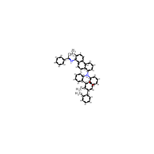 C/C(=N\c1c(C)ccc2c1ccc1c(N(c3ccccc3)c3ccccc3-c3cccc(-c4ccccc4C)c3C)cccc12)c1ccccc1